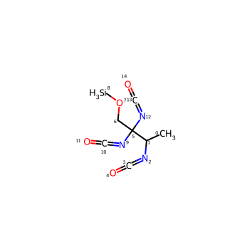 CC(N=C=O)C(CO[SiH3])(N=C=O)N=C=O